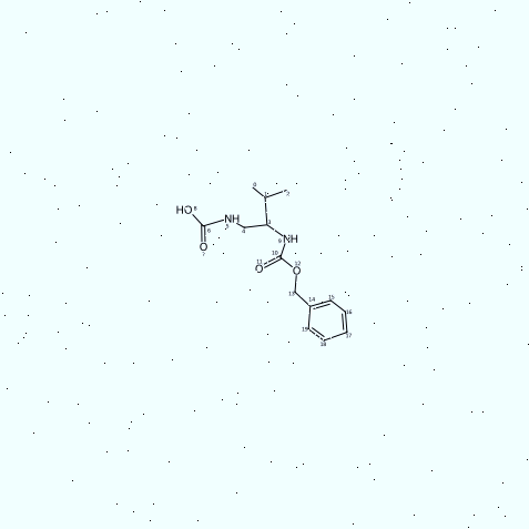 CC(C)C(CNC(=O)O)NC(=O)OCc1ccccc1